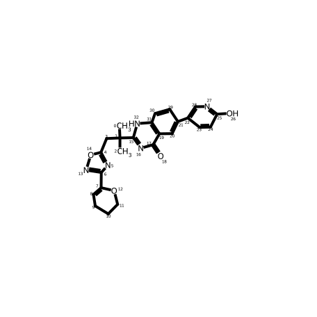 CC(C)(Cc1nc(C2=CCCCO2)no1)c1nc(=O)c2cc(-c3ccc(O)nc3)ccc2[nH]1